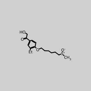 CCc1cc(C(=O)CO)ccc1OCCCCCC[S+](C)[O-]